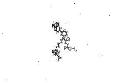 C=C(F)CCC(=O)N(CCCCCc1nc(C2CC2)no1)c1cccc(-c2ccn3ncnc3c2)c1